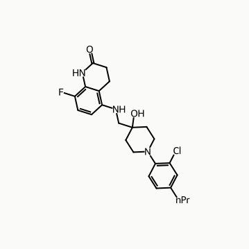 CCCc1ccc(N2CCC(O)(CNc3ccc(F)c4c3CCC(=O)N4)CC2)c(Cl)c1